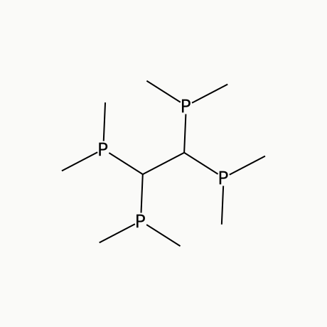 CP(C)C(C(P(C)C)P(C)C)P(C)C